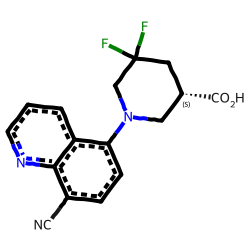 N#Cc1ccc(N2C[C@@H](C(=O)O)CC(F)(F)C2)c2cccnc12